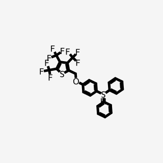 FC(F)(F)c1sc(COc2ccc([SH](c3ccccc3)c3ccccc3)cc2)c(C(F)(F)F)c1C(F)(F)F